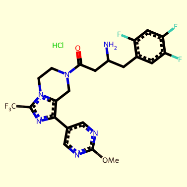 COc1ncc(-c2nc(C(F)(F)F)n3c2CN(C(=O)CC(N)Cc2cc(F)c(F)cc2F)CC3)cn1.Cl